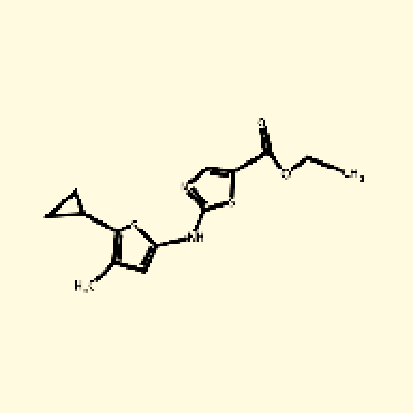 CCOC(=O)c1cnc(Nc2cc(C)c(C3CC3)s2)s1